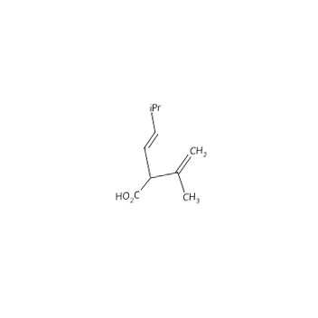 C=C(C)C(/C=C/C(C)C)C(=O)O